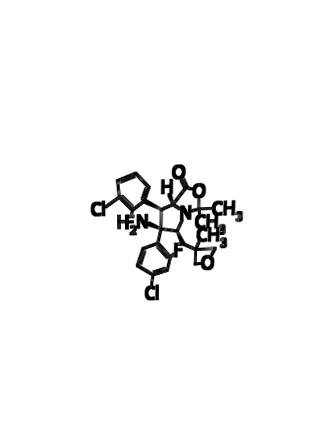 CC1(C[C@@H]2N3[C@@H](C(=O)OC3(C)C)[C@H](c3cccc(Cl)c3F)[C@@]2(N)c2ccc(Cl)cc2F)COC1